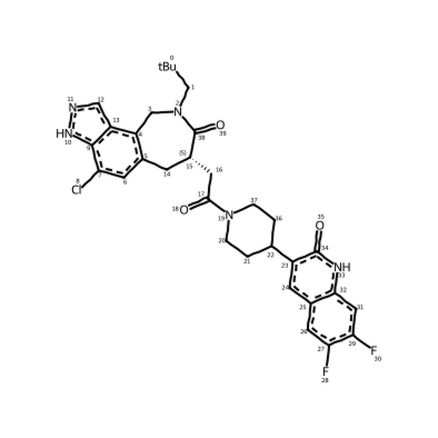 CC(C)(C)CN1Cc2c(cc(Cl)c3[nH]ncc23)C[C@@H](CC(=O)N2CCC(c3cc4cc(F)c(F)cc4[nH]c3=O)CC2)C1=O